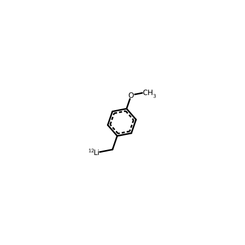 [12Li][CH2]c1ccc(OC)cc1